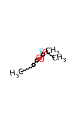 CCCCCCCCc1ccc(-c2ccc(OC(=O)c3ccc(OC(C)CCCCCC)c(F)c3)cc2)cc1